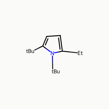 CCc1ccc(C(C)(C)C)n1C(C)(C)C